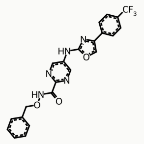 O=C(NOCc1ccccc1)c1ncc(Nc2nc(-c3ccc(C(F)(F)F)cc3)co2)cn1